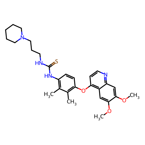 COc1cc2nccc(Oc3ccc(NC(=S)NCCCN4CCCCC4)c(C)c3C)c2cc1OC